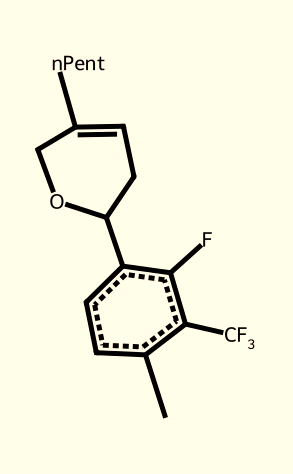 CCCCCC1=CCC(c2ccc(C)c(C(F)(F)F)c2F)OC1